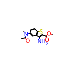 COC(=O)c1sc2ccc(N(C)C(C)=O)cc2c1N